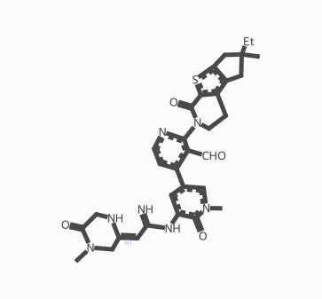 CCC1(C)Cc2sc3c(c2C1)CCN(c1nccc(-c2cc(NC(=N)/C=C4/CN(C)C(=O)CN4)c(=O)n(C)c2)c1C=O)C3=O